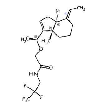 C/C=C1\CCC[C@]2(C)C([C@H](C)OCC(=O)NCC(F)(F)C(F)(F)F)=CC[C@@H]12